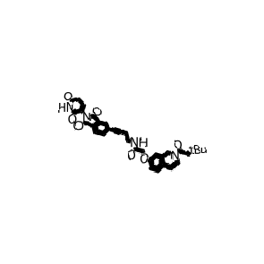 CC(C)(C)CC(=O)N1CCc2ccc(OCC(=O)NCCC#Cc3ccc4c(c3)C(=O)N(C3CCC(=O)NC3=O)C4=O)cc2C1